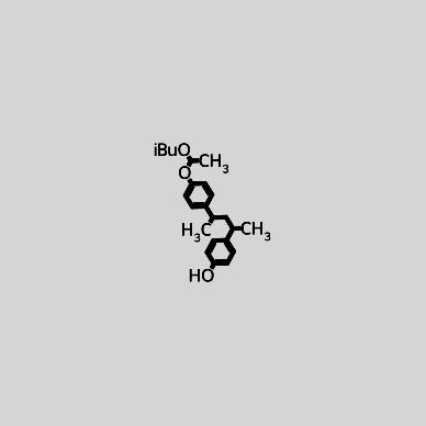 CC(C)COC(C)Oc1ccc(C(C)CC(C)c2ccc(O)cc2)cc1